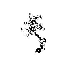 CC(=O)OC[C@H]1O[C@@H](O[C@H]2[C@H](OC(C)=O)[C@@H](OC(C)=O)[C@H](OCCCCCC(=O)N3CCC[C@H]3c3nc(C(=O)c4ccc(F)cc4)cs3)O[C@@H]2COC(C)=O)[C@H](OC(C)=O)[C@@H](OC(C)=O)[C@H]1OC(C)=O